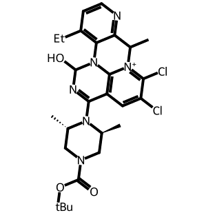 CCc1ccnc2c1N1c3c(cc(Cl)c(Cl)[n+]3C2C)C(N2[C@@H](C)CN(C(=O)OC(C)(C)C)C[C@@H]2C)=NC1O